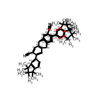 CC1(C)c2ccc(-c3cc4c(cc3C#N)C3c5cc(C#N)c(-c6ccc7c(c6)C(C)(C)C(C)(C)C7(C)C)cc5C4c4cc(-c5ccc6c(c5)C(C)(C)C(C)(C)C6(C)C)c(C#N)cc43)cc2C(C)(C)C1(C)C